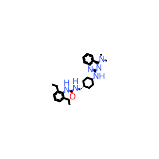 CCc1cccc(CC)c1NC(=O)NC[C@H]1CC[C@@H](Nc2nc(N(C)C)c3ccccc3n2)CC1